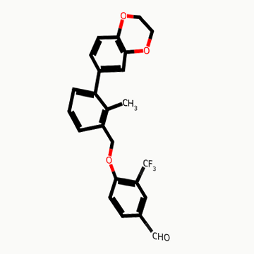 Cc1c(COc2ccc(C=O)cc2C(F)(F)F)cccc1-c1ccc2c(c1)OCCO2